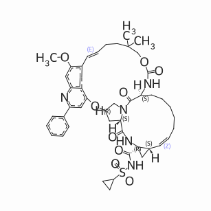 COc1cc2nc(-c3ccccc3)cc3c2cc1/C=C/CCC(C)(C)COC(=O)N[C@H]1CCCCC/C=C\[C@@H]2C[C@@]2(C(=O)NS(=O)(=O)C2CC2)NC(=O)[C@@H]2C[C@H](CN2C1=O)O3